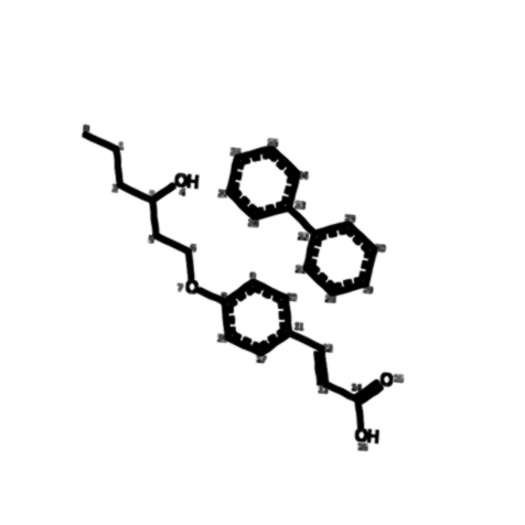 CCCC(O)CCOc1ccc(C=CC(=O)O)cc1.c1ccc(-c2ccccc2)cc1